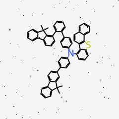 CC1(C)c2ccccc2-c2ccc(-c3ccc(N(c4ccc(-c5ccccc5-c5cccc6c5C(C)(C)c5ccccc5-6)cc4)c4cccc5sc6c7ccccc7ccc6c45)cc3)cc21